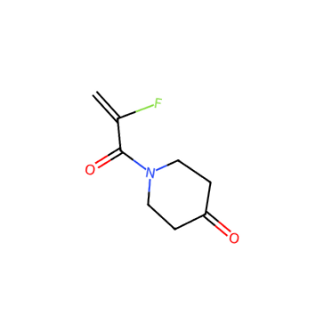 C=C(F)C(=O)N1CCC(=O)CC1